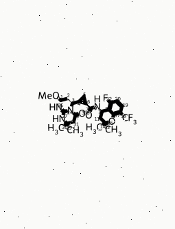 COCC[C@H](C1C[C@H]1C(=O)N[C@H]1CC(C)(C)Oc2c(C(F)(F)F)ccc(F)c21)N1C(=N)NC(C)(C)CC1=O